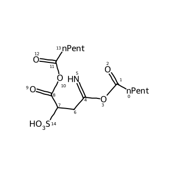 CCCCCC(=O)OC(=N)CC(C(=O)OC(=O)CCCCC)S(=O)(=O)O